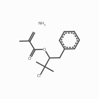 C=C(C)C(=O)OC(Cc1ccccc1)C(C)(C)Cl.N